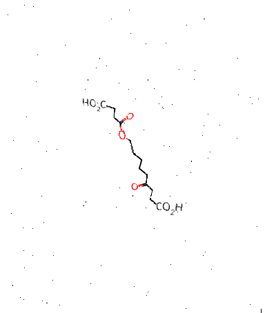 O=C(O)CCC(=O)CCCCCOC(=O)CCC(=O)O